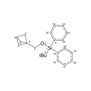 CC(C)(C)[Si](OCC12CC(C1)C2)(c1ccccc1)c1ccccc1